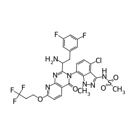 Cn1nc(NS(C)(=O)=O)c2c(Cl)ccc(-n3c(C(N)Cc4cc(F)cc(F)c4)nc4nc(OCCC(F)(F)F)ccc4c3=O)c21